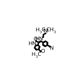 CC(=O)c1ccc2c(c1)/C(=C(/NCCCN(C)C)c1ccc(C#N)cc1)C(=O)N2